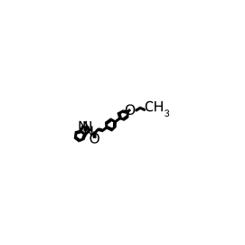 CCCCOc1ccc(-c2ccc(C=CC(=O)n3nnc4ccccc43)cc2)cc1